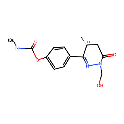 C[C@@H]1CC(=O)N(CO)N=C1c1ccc(OC(=O)NC(C)(C)C)cc1